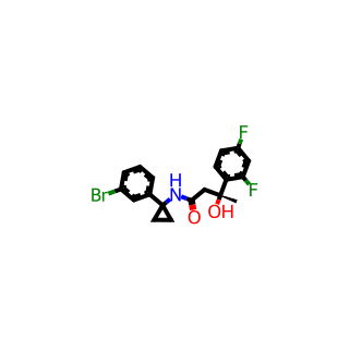 C[C@@](O)(CC(=O)NC1(c2cccc(Br)c2)CC1)c1ccc(F)cc1F